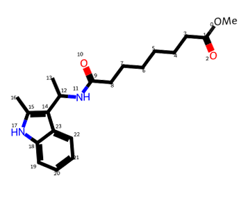 COC(=O)CCCCCCC(=O)NC(C)c1c(C)[nH]c2ccccc12